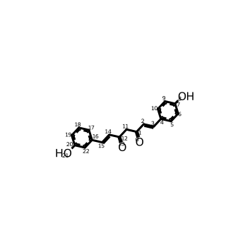 O=C(/C=C/c1ccc(O)cc1)CC(=O)/C=C/c1cccc(O)c1